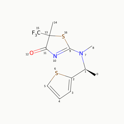 C[C@@H](c1cccs1)N(C)C1=NC(=O)C(C)(C(F)(F)F)S1